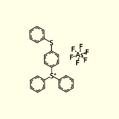 F[As-](F)(F)(F)(F)F.c1ccc(Sc2ccc([S+](c3ccccc3)c3ccccc3)cc2)cc1